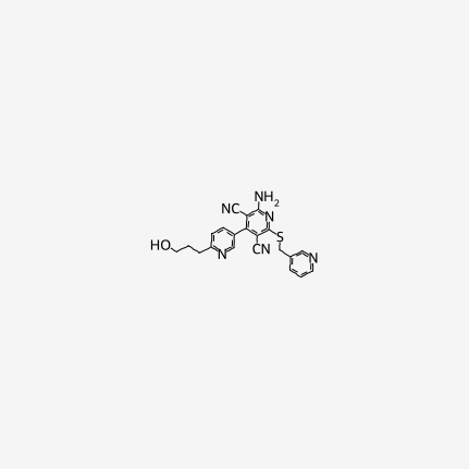 N#Cc1c(N)nc(SCc2cccnc2)c(C#N)c1-c1ccc(CCCO)nc1